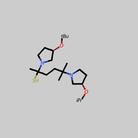 CC(C)O[C@@H]1CCN(C(C)(C)CCC(C)(S)N2CC[C@@H](OC(C)(C)C)C2)C1